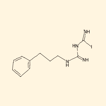 N=C(I)NC(=N)NCCCc1ccccc1